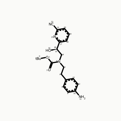 CC(C)(C)OC(=O)N(CCc1ccc(N)cc1)C[C@@H](O)c1cccc(C#N)n1